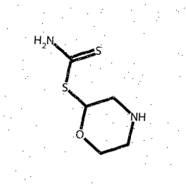 NC(=S)SC1CNCCO1